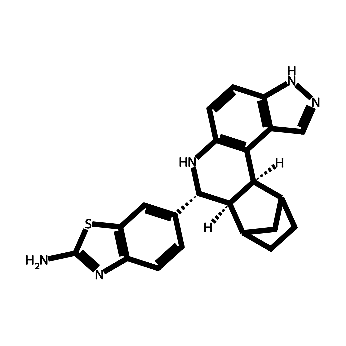 Nc1nc2ccc([C@@H]3Nc4ccc5[nH]ncc5c4[C@H]4C5CCC(C5)[C@@H]34)cc2s1